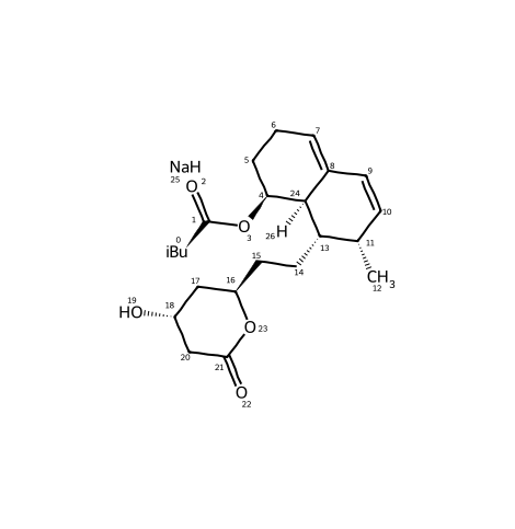 CC[C@H](C)C(=O)O[C@H]1CCC=C2C=C[C@H](C)[C@H](CC[C@@H]3C[C@@H](O)CC(=O)O3)[C@H]21.[NaH]